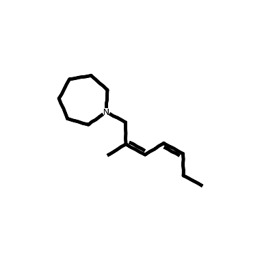 CC/C=C\C=C(\C)CN1CCCCCC1